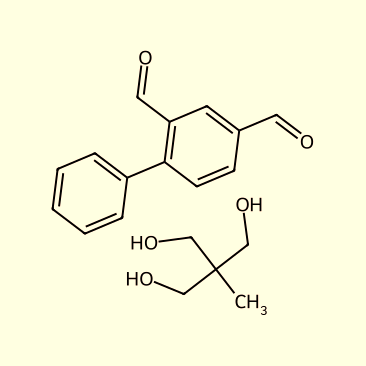 CC(CO)(CO)CO.O=Cc1ccc(-c2ccccc2)c(C=O)c1